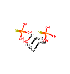 CCCCCC.CCCCCC.CCO.OP(O)(O)=S.OP(O)(O)=S